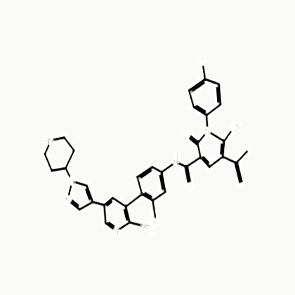 C=C(C)c1cc(C(=O)Nc2ccc(-c3cc(-c4cnn(C5CCNCC5)c4)cnc3N)c(F)c2)c(=O)n(-c2ccc(F)cc2)c1C#N